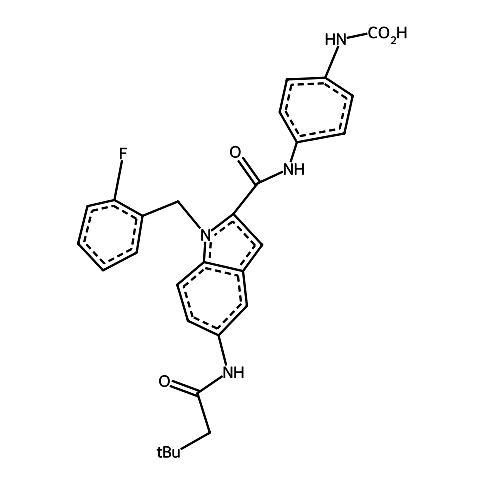 CC(C)(C)CC(=O)Nc1ccc2c(c1)cc(C(=O)Nc1ccc(NC(=O)O)cc1)n2Cc1ccccc1F